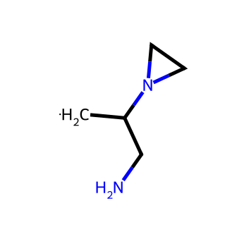 [CH2]C(CN)N1CC1